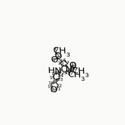 CCOC(=O)c1ccc2c(c1)[C@H](Nc1ccc(C3CCOCC3)cc1)C[C@H](C)N2C(C)=O